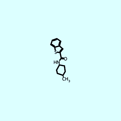 C[C@H]1CC[C@H](NC(=O)c2cc3ccccc3s2)CC1